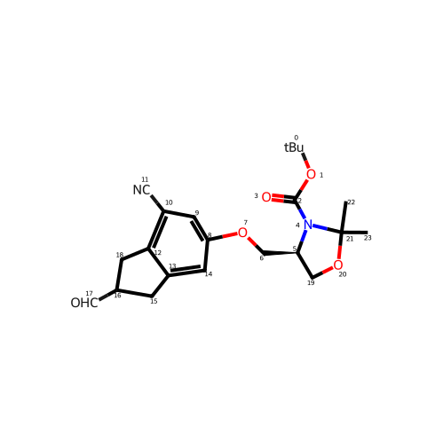 CC(C)(C)OC(=O)N1[C@H](COc2cc(C#N)c3c(c2)CC(C=O)C3)COC1(C)C